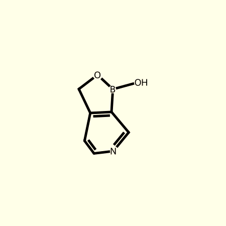 OB1OCc2ccncc21